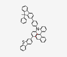 CC1(c2ccccc2)c2ccccc2-c2ccc(-c3ccc(N(c4ccc(-c5ccc6c(c5)sc5ccccc56)cc4)c4ccccc4-c4cccc5ccccc45)cc3)cc21